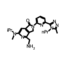 CCCn1c(C)nnc1-c1cccc(N2Cc3c(cc(N(C)C(C)C)nc3CN)C2=O)n1